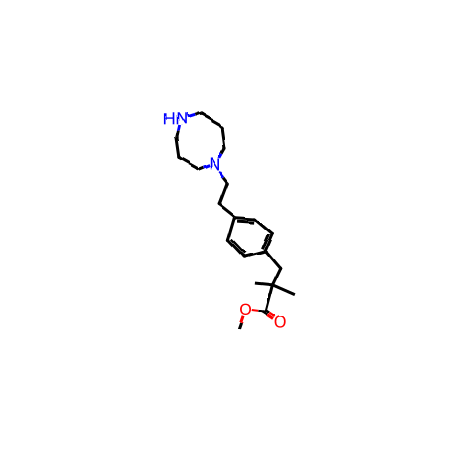 COC(=O)C(C)(C)Cc1ccc(CCN2CCCNCCC2)cc1